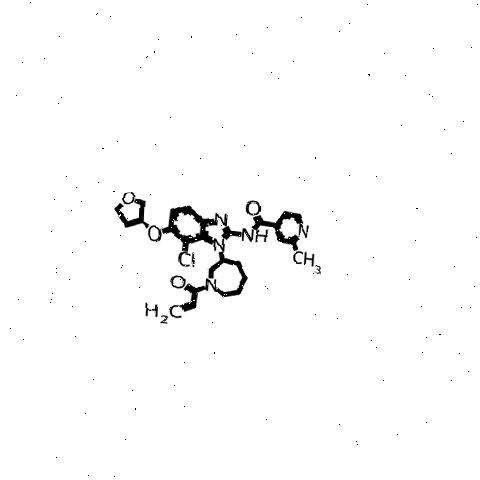 C=CC(=O)N1CCCCC(n2c(NC(=O)c3ccnc(C)c3)nc3ccc(O[C@H]4CCOC4)c(Cl)c32)C1